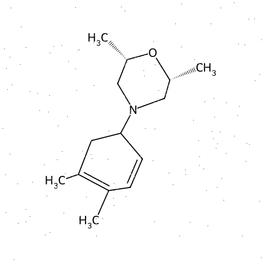 CC1=C(C)CC(N2C[C@@H](C)O[C@@H](C)C2)C=C1